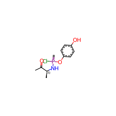 C=P(Cl)(N[C@@H](C)C(C)=O)Oc1ccc(O)cc1